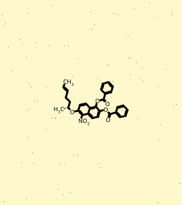 CC=CCC[C@@H](C)Oc1ccc2c(OC(=O)c3ccccc3)c(OC(=O)c3ccccc3)ccc2c1[N+](=O)[O-]